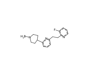 BN1CCC(c2cccc(CCc3ncccc3F)n2)CC1